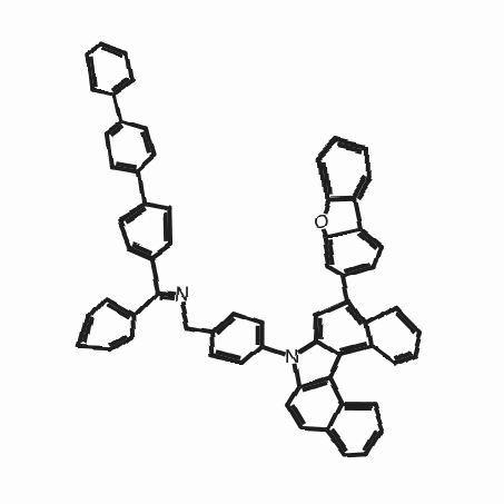 c1ccc(/C(=N\Cc2ccc(-n3c4ccc5ccccc5c4c4c5ccccc5c(-c5ccc6c(c5)oc5ccccc56)cc43)cc2)c2ccc(-c3ccc(-c4ccccc4)cc3)cc2)cc1